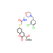 COC(=O)c1cc2cc(SCC(=O)NC[C@H]3CN(CC4C=C(Cl)C(Cl)=CC4)CCO3)ccc2oc1=O